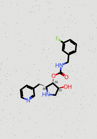 O=C(NCc1cccc(F)c1)O[C@@H]1[C@@H](O)CN[C@@H]1Cc1cccnc1